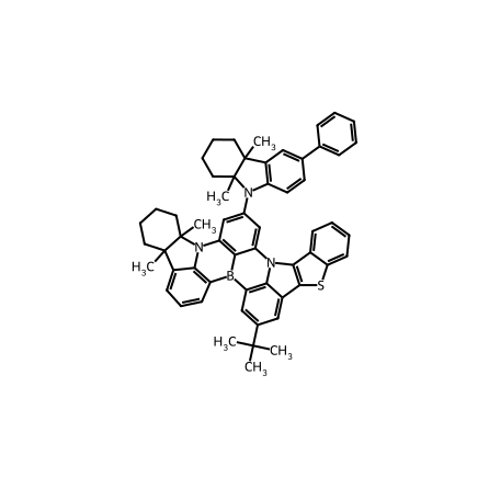 CC(C)(C)c1cc2c3c(c1)c1sc4ccccc4c1n3-c1cc(N3c4ccc(-c5ccccc5)cc4C4(C)CCCCC34C)cc3c1B2c1cccc2c1N3C1(C)CCCCC21C